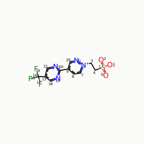 O=S(=O)([O-])CC[n+]1ccc(-c2ncc(C(F)(F)F)cn2)cn1